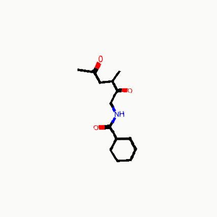 CC(=O)CC(C)C(=O)CNC(=O)C1CCCCC1